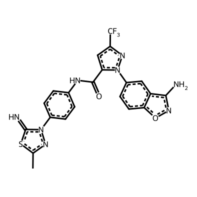 Cc1nn(-c2ccc(NC(=O)c3cc(C(F)(F)F)nn3-c3ccc4onc(N)c4c3)cc2)c(=N)s1